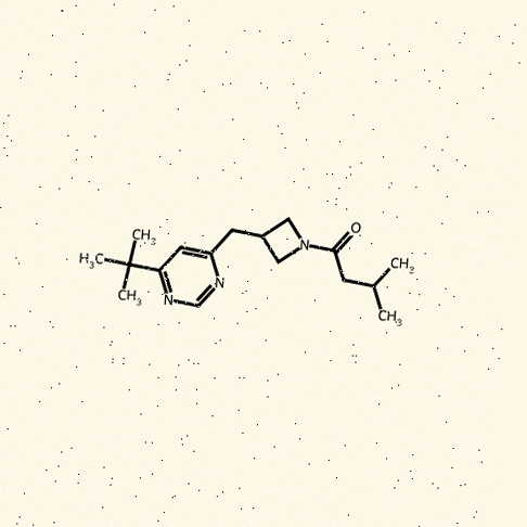 CC(C)CC(=O)N1CC(Cc2cc(C(C)(C)C)ncn2)C1